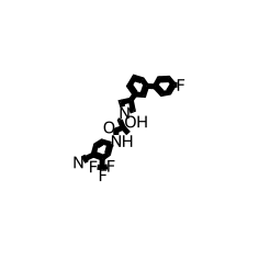 CC(O)(CN1CC(c2cccc(-c3ccc(F)cc3)c2)C1)C(=O)Nc1ccc(C#N)c(C(F)(F)F)c1